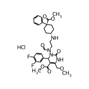 COCC1=C(C(=O)OC)C(c2ccc(F)c(F)c2)N(N(C=O)CCN[C@H]2CC[C@@](C(=O)OC)(c3ccccc3)CC2)C(=O)N1.Cl